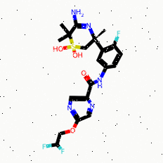 CC1(C)C(N)=N[C@](C)(c2cc(NC(=O)c3cnc(OCC(F)F)cn3)ccc2F)CS1(O)O